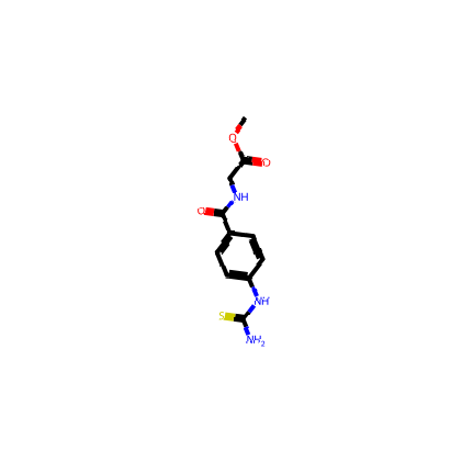 COC(=O)CNC(=O)c1ccc(NC(N)=S)cc1